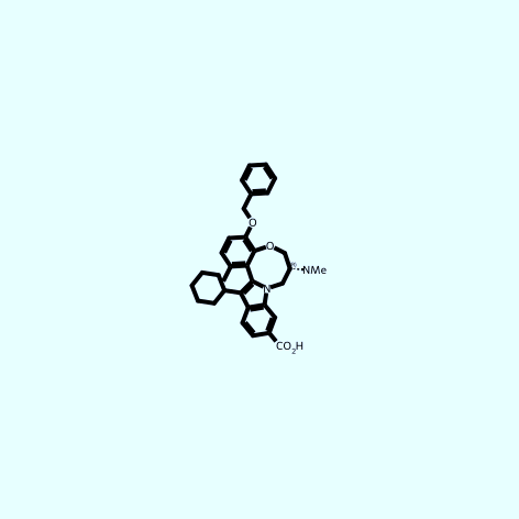 CN[C@H]1COc2c(OCc3ccccc3)ccc(C)c2-c2c(C3CCCCC3)c3ccc(C(=O)O)cc3n2C1